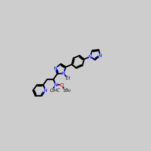 CCn1c(-c2ccc(-n3ccnc3)cc2)cnc1C(Cc1ccccn1)N(C=O)OC(C)(C)C